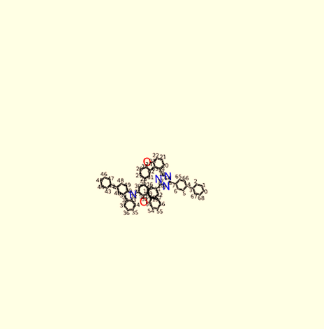 c1ccc(-c2ccc(-c3nc(-c4ccccc4)nc(-c4cccc5oc6ccc(-c7cc(-n8c9ccccc9c9cc(-c%10ccccc%10)ccc98)c8oc9ccccc9c8c7)cc6c45)n3)cc2)cc1